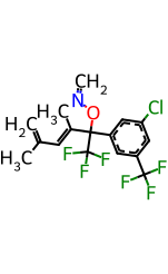 C=NOC(/C(C)=C/C(=C)C)(c1cc(Cl)cc(C(F)(F)F)c1)C(F)(F)F